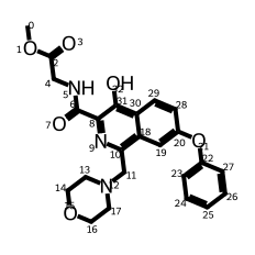 COC(=O)CNC(=O)c1nc(CN2CCOCC2)c2cc(Oc3ccccc3)ccc2c1O